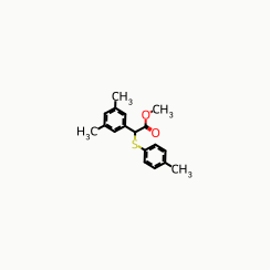 COC(=O)C(Sc1ccc(C)cc1)c1cc(C)cc(C)c1